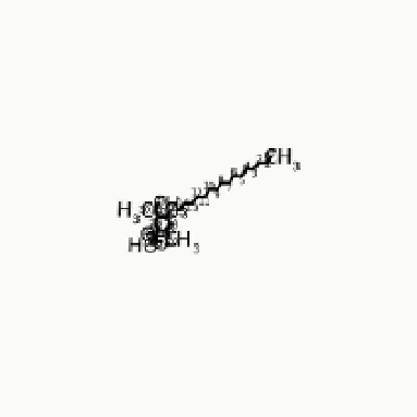 CCCCCCCCCCCCCCCCOc1cc(C)c(S(=O)(=O)O)cc1C(C)C